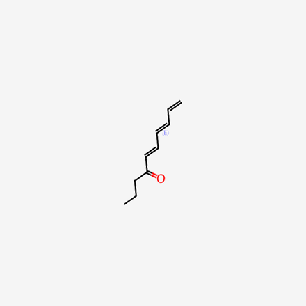 C=C/C=C/C=CC(=O)CCC